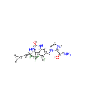 NC(=O)c1nccn1Cc1cc2c(cc1F)[C@@](C#CC1CC1)(C(F)(F)F)NC(=O)N2